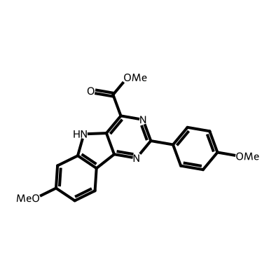 COC(=O)c1nc(-c2ccc(OC)cc2)nc2c1[nH]c1cc(OC)ccc12